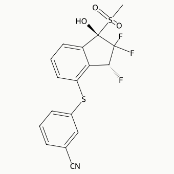 CS(=O)(=O)[C@@]1(O)c2cccc(Sc3cccc(C#N)c3)c2[C@@H](F)C1(F)F